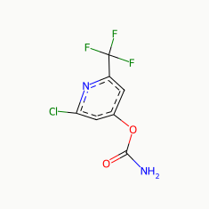 NC(=O)Oc1cc(Cl)nc(C(F)(F)F)c1